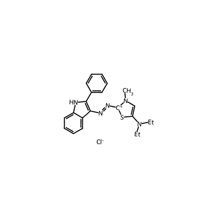 CCN(CC)c1cn(C)[c+](N=Nc2c(-c3ccccc3)[nH]c3ccccc23)s1.[Cl-]